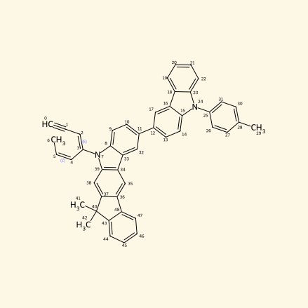 C#C/C=C(\C=C/C)n1c2ccc(-c3ccc4c(c3)c3ccccc3n4-c3ccc(C)cc3)cc2c2cc3c(cc21)C(C)(C)c1ccccc1-3